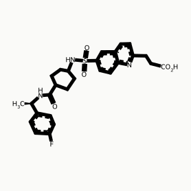 C[C@@H](NC(=O)C1CCC(NS(=O)(=O)c2ccc3nc(CCC(=O)O)ccc3c2)CC1)c1ccc(F)cc1